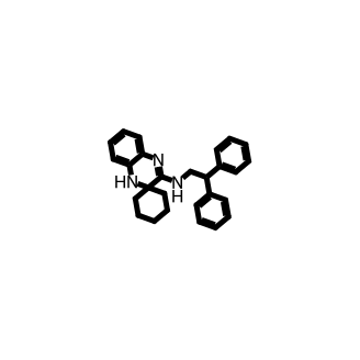 c1ccc(C(CNC2=Nc3ccccc3NC23CCCCC3)c2ccccc2)cc1